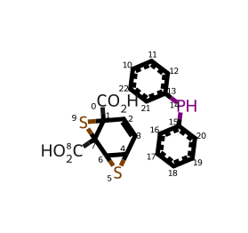 O=C(O)C12C=CC3SC3C1(C(=O)O)S2.c1ccc(Pc2ccccc2)cc1